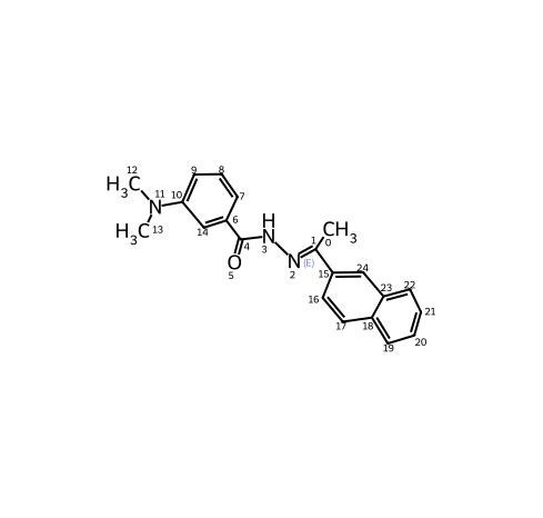 C/C(=N\NC(=O)c1cccc(N(C)C)c1)c1ccc2ccccc2c1